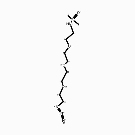 CP(C)(=O)NCCOCCOCCOCCN=[N+]=[N-]